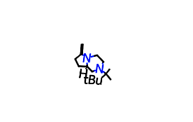 C=C1CC[C@@H]2CN(C(C)(C)C(C)(C)C)CCN12